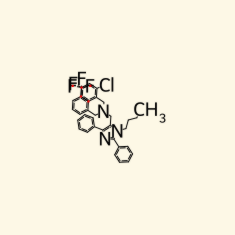 CCCCn1c(-c2ccccc2)nc(-c2ccccc2)c1CN(Cc1cccc(C(F)(F)F)c1)Cc1ccc(F)cc1Cl